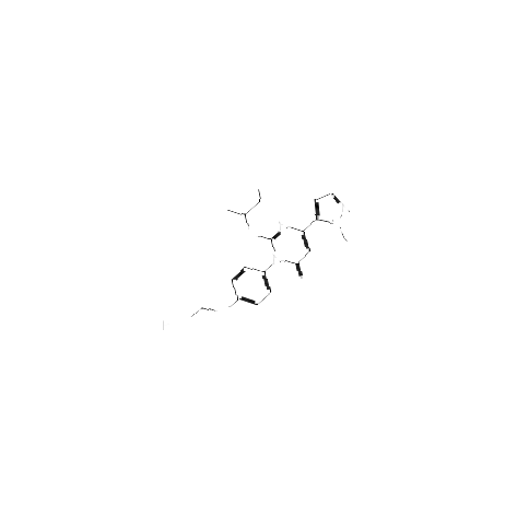 CC(CF)Oc1nc(-c2ccnn2C)cc(=O)n1-c1ccc(OCC(F)(F)F)cc1